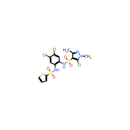 Cc1nn(C)c(Cl)c1S(=O)(=O)Nc1cc(Cl)c(Cl)cc1NS(=O)(=O)c1cccs1